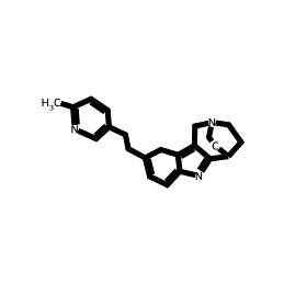 Cc1ccc(CCC2=CC=C3N=C4C(=C3C2)CN2CCC4CC2)cn1